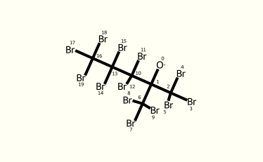 [O]C(C(Br)(Br)Br)(C(Br)(Br)Br)C(Br)(Br)C(Br)(Br)C(Br)(Br)Br